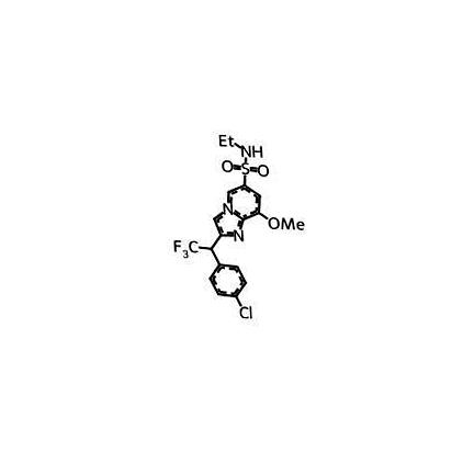 CCNS(=O)(=O)c1cc(OC)c2nc(C(c3ccc(Cl)cc3)C(F)(F)F)cn2c1